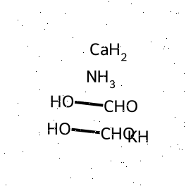 N.O=CO.O=CO.[CaH2].[KH]